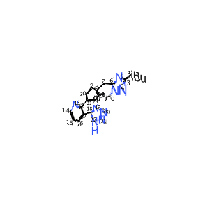 CCCn1nc(C(C)CC)nc1Cc1ccc(-c2ncccc2-c2nnn[nH]2)cc1